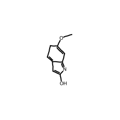 COC1=CC2=NC(O)=CC2=CC1